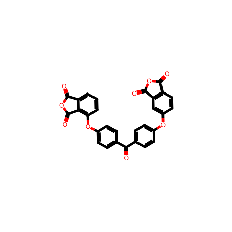 O=C(c1ccc(Oc2ccc3c(c2)C(=O)OC3=O)cc1)c1ccc(Oc2cccc3c2C(=O)OC3=O)cc1